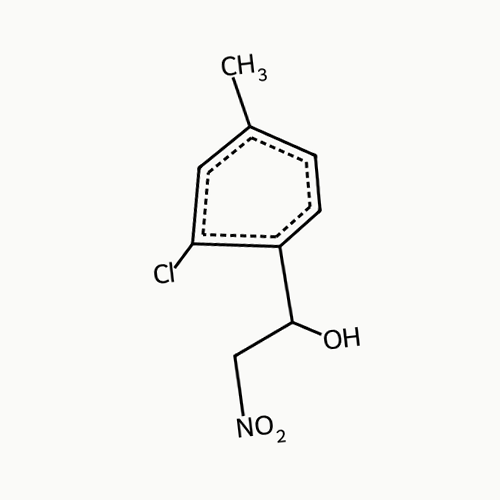 Cc1ccc(C(O)C[N+](=O)[O-])c(Cl)c1